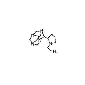 CCN1CCCC1C1N2CN3CN(C2)CN1C3